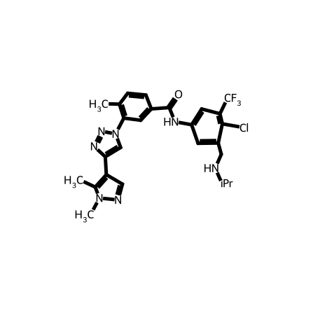 Cc1ccc(C(=O)Nc2cc(CNC(C)C)c(Cl)c(C(F)(F)F)c2)cc1-n1cc(-c2cnn(C)c2C)nn1